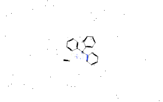 C=CSNC(c1ccccc1)(c1ccccc1)c1ccccc1